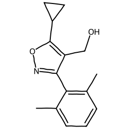 Cc1cccc(C)c1-c1noc(C2CC2)c1CO